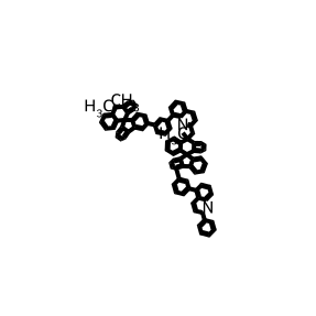 CC1(C)c2ccccc2C2(c3ccccc3-c3cc(-c4cccc(-c5cccc6ccc(CC7(C)c8ccccc8C8(c9ccccc9-c9c(-c%10cccc(-c%11cccc%12nc(-c%13ccccc%13)ccc%11%12)c%10)cccc98)c8ccccc87)nc56)c4)ccc32)c2ccccc21